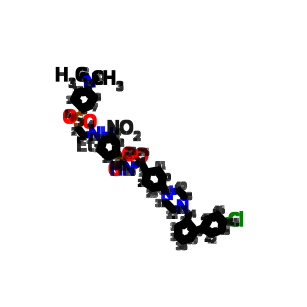 CC[C@H](CS(=O)(=O)c1ccc(N(C)C)cc1)Nc1ccc(S(=O)(=O)NC(=O)c2ccc(N3CCN(Cc4ccccc4-c4ccc(Cl)cc4)CC3)cc2)cc1[N+](=O)[O-]